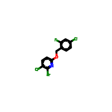 Fc1cc(Cl)ccc1COc1ccc(Cl)c(Br)n1